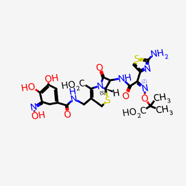 CC(C)(O/N=C(\C(=O)NC1C(=O)N2C(C(=O)O)=C(CNC(=O)C3=CC(O)=C(O)C(=NO)C3)CS[C@@H]12)c1csc(N)n1)C(=O)O